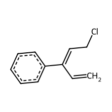 C=CC(=CCCl)c1ccccc1